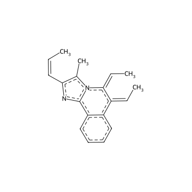 C/C=C\c1nc2c3ccccc3c(=C/C)/c(=C\C)n2c1C